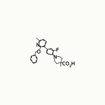 Cc1ccc(-c2ccc(N3CCC(C)(C(=O)O)CC3)c(F)c2)c(OCc2ccccc2)n1